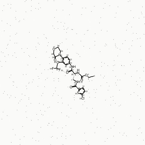 CCOC(=O)N[C@H](CNC(=O)c1ccc(Cl)s1)C(=O)Nc1ccc(N2CCOCC2=O)c(OC(F)F)c1